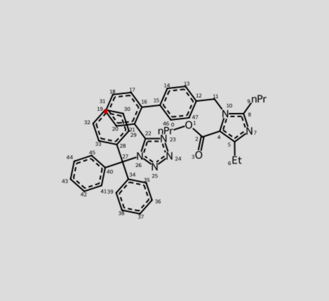 CCCOC(=O)c1c(CC)nc(CCC)n1Cc1ccc(-c2ccccc2-c2nnnn2C(c2ccccc2)(c2ccccc2)c2ccccc2)cc1